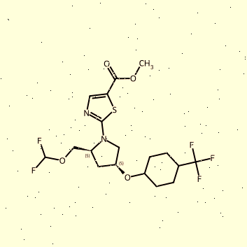 COC(=O)c1cnc(N2C[C@@H](OC3CCC(C(F)(F)F)CC3)C[C@H]2COC(F)F)s1